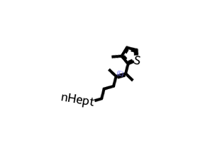 CCCCCCCCCC/C(C)=C(\C)c1sccc1C